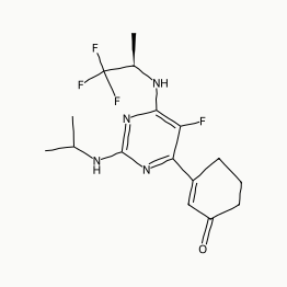 CC(C)Nc1nc(N[C@H](C)C(F)(F)F)c(F)c(C2=CC(=O)CCC2)n1